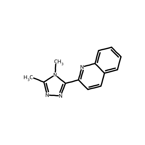 Cc1nnc(-c2ccc3ccccc3n2)n1C